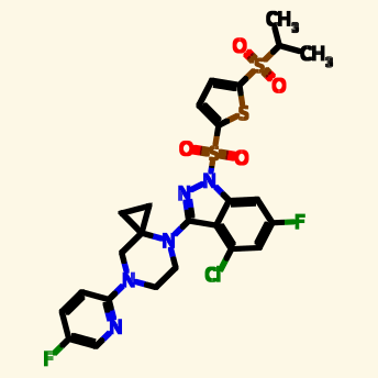 CC(C)S(=O)(=O)c1ccc(S(=O)(=O)n2nc(N3CCN(c4ccc(F)cn4)CC34CC4)c3c(Cl)cc(F)cc32)s1